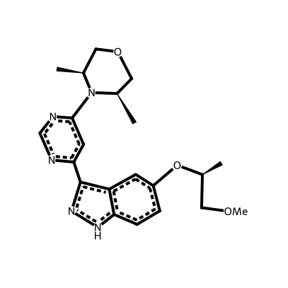 COC[C@H](C)Oc1ccc2[nH]nc(-c3cc(N4[C@H](C)COC[C@@H]4C)ncn3)c2c1